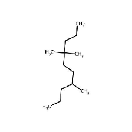 [CH2]CCC(C)(C)CCC(C)CCC